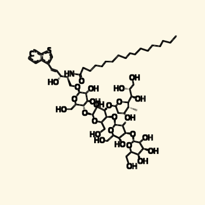 CCCCCCCCCCCCCCCCCC(=O)N[C@@H](CO[C@@H]1OC(CO)[C@@H](O[C@@H]2OC(CO)[C@H](O[C@@H]3OC(CO)[C@H](O)[C@H](O[C@@H]4OC(CO)[C@H](O)[C@H](O)C4O)C3C)[C@H](OC3C[C@@H](O)[C@@H](C)C([C@H](O)[C@H](O)CO)O3)C2O)[C@H](O)C1O)[C@H](O)/C=C/c1csc2ccccc12